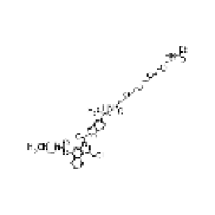 CCC(=O)NCCOCCOCCOCCOCCC(=O)N/N=C(\C)c1ccc2oc(C(=O)N3C[C@@H](CCl)c4c3cc(OC(=O)N3CCN(C)CC3)c3ccccc43)cc2c1